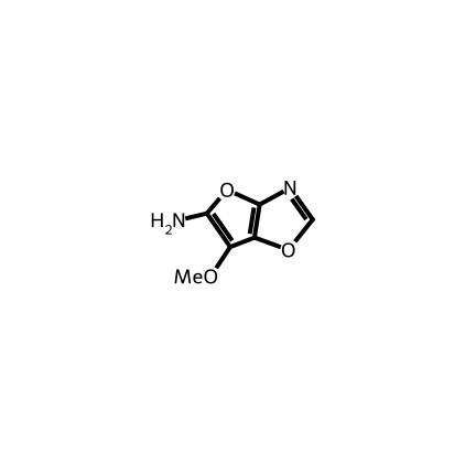 COc1c(N)oc2ncoc12